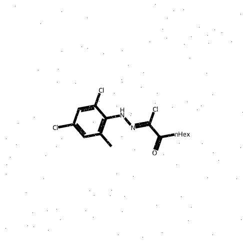 CCCCCCC(=O)C(Cl)=NNc1c(C)cc(Cl)cc1Cl